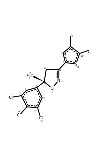 Cc1cc(C2=NO[C@@](c3cc(Cl)c(Cl)c(Cl)c3)(C(F)(F)F)C2)sc1C